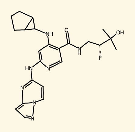 CC(C)(O)[C@H](F)CNC(=O)c1cnc(Nc2ccn3nccc3n2)cc1NC1C2CCCC21